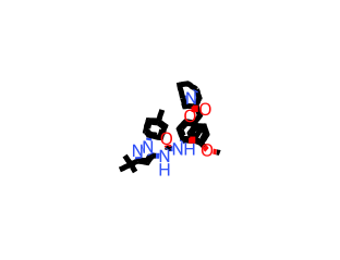 COc1ccc(OC(=O)N2C3CCC2CC(Cc2ccc(NC(=O)Nc4cc(C(C)(C)C)nn4-c4ccc(C)cc4)cc2)C3)cc1